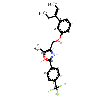 C/C=C(\CC)c1cccc(OCc2nc(-c3ccc(C(F)(F)F)cc3)oc2C)c1